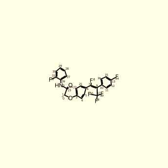 C[C@@H](Oc1ccc(C(F)=C(c2ccc(F)cc2)C(F)(F)F)cc1)C(=O)Nc1ccccc1F